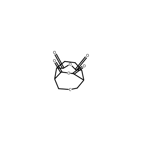 O=C1OC(=O)C2CCCC1C1CCC2C(=O)OC1=O